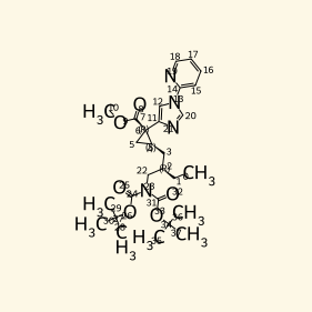 CC[C@H](C[C@H]1C[C@]1(C(=O)OC)c1cn(-c2ccccn2)cn1)CN(C(=O)OC(C)(C)C)C(=O)OC(C)(C)C